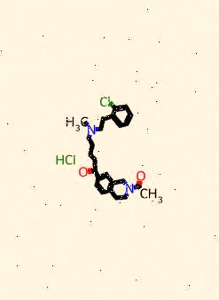 CC(=O)N1CCc2ccc(C(=O)CCCCN(C)CCc3ccccc3Cl)cc2C1.Cl